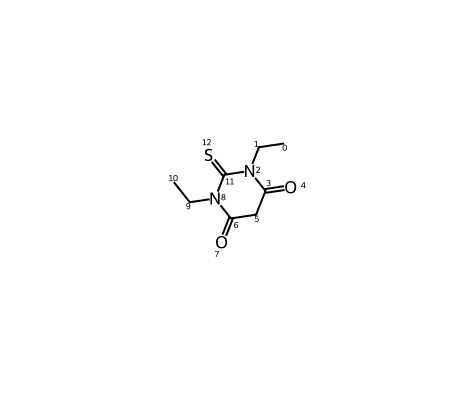 CCN1C(=O)CC(=O)N(CC)C1=S